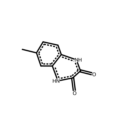 Cc1ccc2[nH]c(=O)c(=O)[nH]c2c1